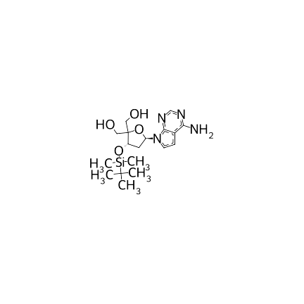 CC(C)(C)[Si](C)(C)O[C@H]1C[C@H](n2ccc3c(N)ncnc32)OC1(CO)CO